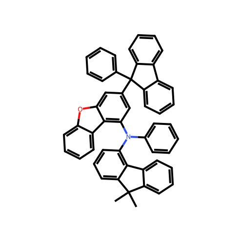 CC1(C)c2ccccc2-c2c(N(c3ccccc3)c3cc(C4(c5ccccc5)c5ccccc5-c5ccccc54)cc4oc5ccccc5c34)cccc21